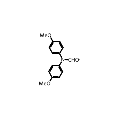 COc1ccc(N([C]=O)c2ccc(OC)cc2)cc1